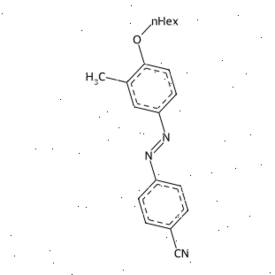 CCCCCCOc1ccc(/N=N/c2ccc(C#N)cc2)cc1C